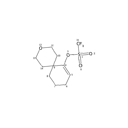 O=S(=O)(OC1=CCCCC12CCOCC2)C(F)(F)F